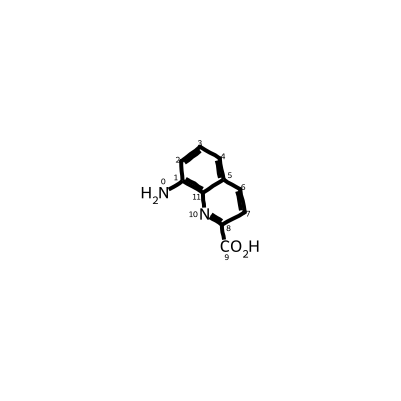 Nc1cccc2ccc(C(=O)O)nc12